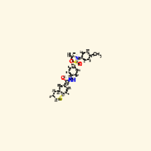 Cc1ccc(N(C)S(=O)(=O)c2ccc(NC(=O)c3ccc4c(c3)CCCS4)cc2)cc1